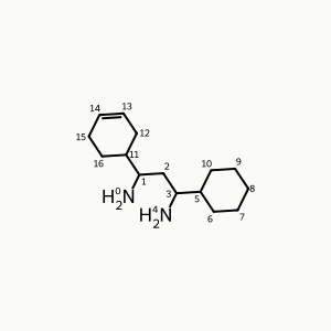 NC(CC(N)C1CCCCC1)C1CC=CCC1